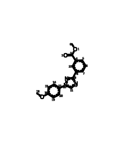 COC(=O)c1cccc(-c2ncn(-c3ccc(OC)cc3)n2)c1